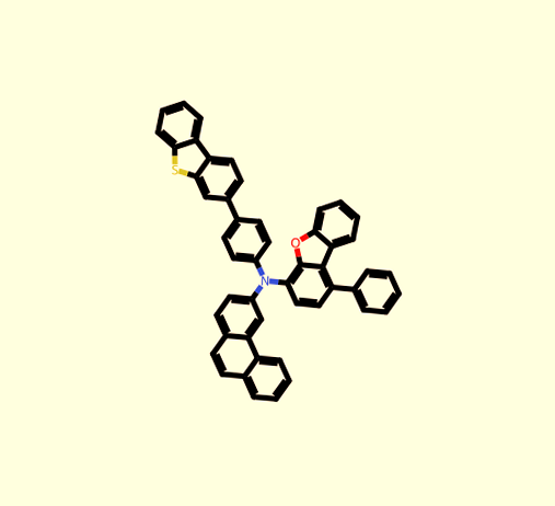 c1ccc(-c2ccc(N(c3ccc(-c4ccc5c(c4)sc4ccccc45)cc3)c3ccc4ccc5ccccc5c4c3)c3oc4ccccc4c23)cc1